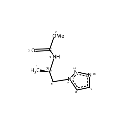 COC(=O)N[C@H](C)Cn1ccnn1